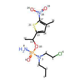 CCCN(CCCl)P(N)(=O)OC(C)c1cc(C)c([N+](=O)[O-])s1